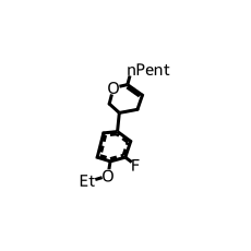 CCCCCC1=CCC(c2ccc(OCC)c(F)c2)CO1